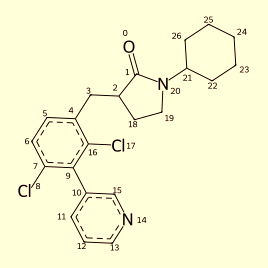 O=C1C(Cc2ccc(Cl)c(-c3cccnc3)c2Cl)CCN1C1CCCCC1